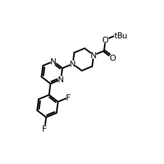 CC(C)(C)OC(=O)N1CCN(c2nccc(-c3ccc(F)cc3F)n2)CC1